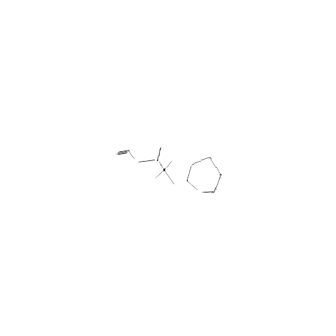 CC(NC=O)C(F)(F)C[C@@H]1CCCCO1